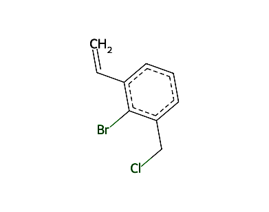 C=Cc1cccc(CCl)c1Br